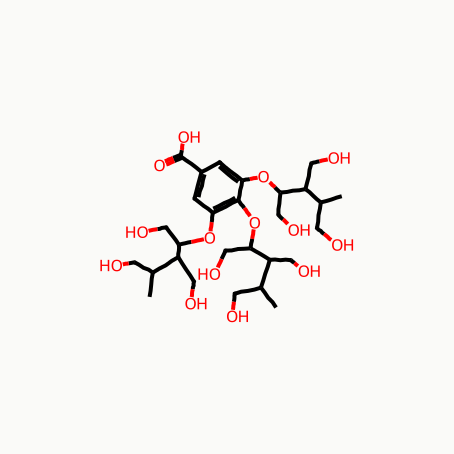 CC(CO)C(CO)C(CO)Oc1cc(C(=O)O)cc(OC(CO)C(CO)C(C)CO)c1OC(CO)C(CO)C(C)CO